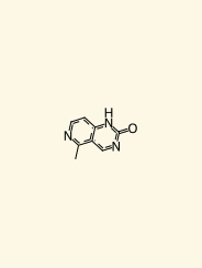 Cc1nccc2[nH]c(=O)ncc12